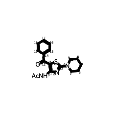 [CH2]C(=O)Nc1nc(N2CCCCC2)sc1C(=O)c1ccccc1